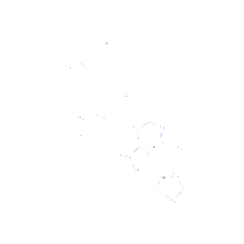 CCN(CCCN(C[C@@H]1CC[C@H](n2cc(-c3ncns3)c3c(N)ncnc32)C1)C(=O)OC(C)(C)C)C(=O)OC(C)(C)C